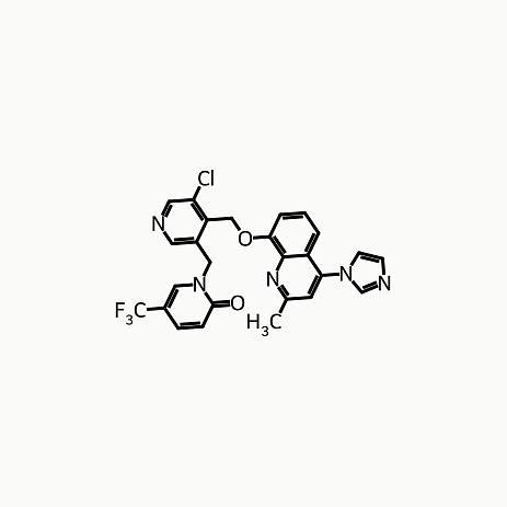 Cc1cc(-n2ccnc2)c2cccc(OCc3c(Cl)cncc3Cn3cc(C(F)(F)F)ccc3=O)c2n1